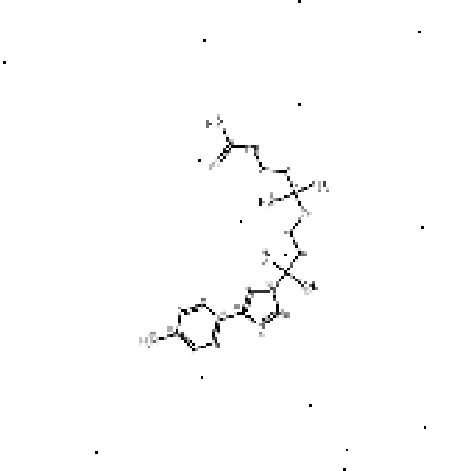 CC(=O)NCCC(C)(C)OCCC(C)(C)n1cc(-c2ccc(N)cc2)nn1